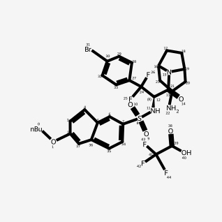 CCCCOc1ccc2cc(S(=O)(=O)N[C@H](C(=O)N3C4CCC3CC(N)C4)C(F)(F)c3ccc(Br)cc3)ccc2c1.O=C(O)C(F)(F)F